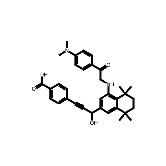 CN(C)c1ccc(C(=O)CNc2cc(C(O)C#Cc3ccc(C(=O)O)cc3)cc3c2C(C)(C)CCC3(C)C)cc1